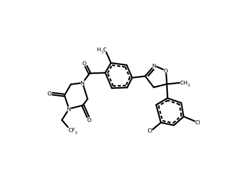 Cc1cc(C2=NOC(C)(c3cc(Cl)cc(Cl)c3)C2)ccc1C(=O)N1CC(=O)N(CC(F)(F)F)C(=O)C1